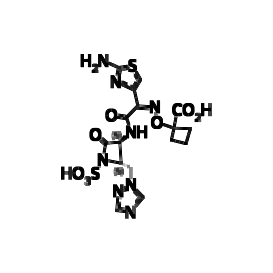 Nc1nc(C(=NOC2(C(=O)O)CCC2)C(=O)N[C@@H]2C(=O)N(S(=O)(=O)O)[C@H]2Cn2cncn2)cs1